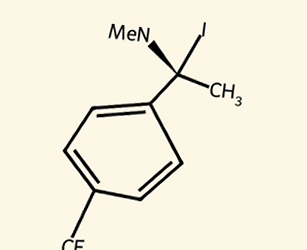 CN[C@](C)(I)c1ccc(C(F)(F)F)cc1